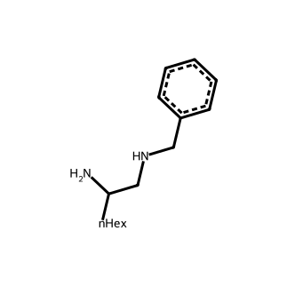 CCCCCCC(N)CNCc1ccccc1